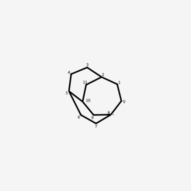 C1CC2CCC3CC[C]1CC3C2